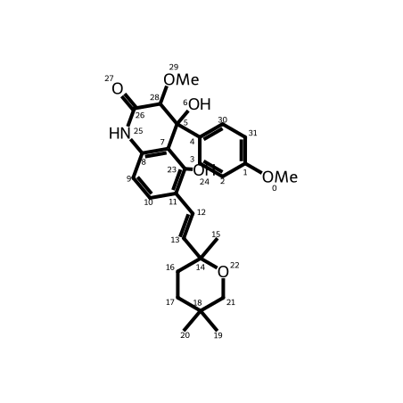 COc1ccc(C2(O)c3c(ccc(/C=C/C4(C)CCC(C)(C)CO4)c3O)NC(=O)C2OC)cc1